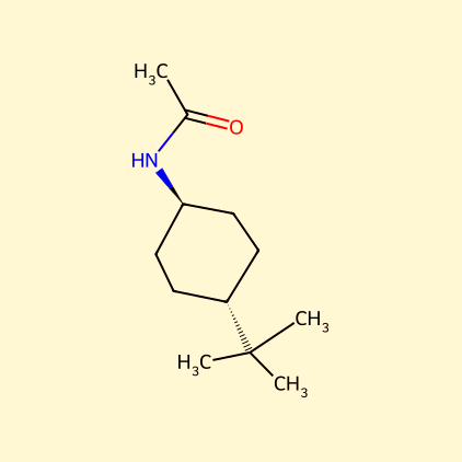 CC(=O)N[C@H]1CC[C@H](C(C)(C)C)CC1